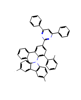 CC(C)(C)c1ccc2c(c1)c1cc(C(C)(C)C)ccc1n2-c1c(-c2ccccc2C(F)(F)F)cc(-c2nc(-c3ccccc3)cc(-c3ccccc3)n2)cc1-c1ccccc1C(F)(F)F